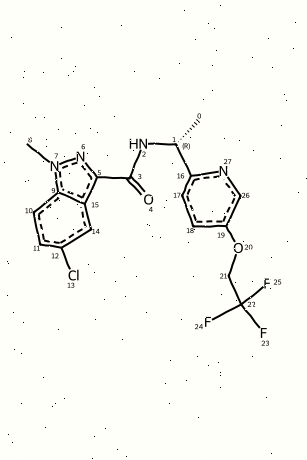 C[C@@H](NC(=O)c1nn(C)c2ccc(Cl)cc12)c1ccc(OCC(F)(F)F)cn1